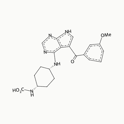 COc1cccc(C(=O)c2c[nH]c3ncnc(N[C@H]4CC[C@@H](NC(=O)O)CC4)c23)c1